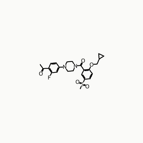 CC(=O)c1ccc(N2CCN(C(=O)c3cc(S(C)(=O)=O)ccc3OCC3CC3)CC2)cc1F